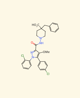 COc1c(C(=O)NN2CCC(Cc3ccccc3)(C(=O)O)CC2)nn(-c2ccccc2Cl)c1-c1ccc(Cl)cc1